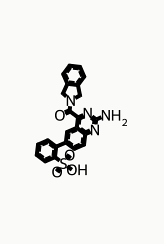 Nc1nc(C(=O)N2Cc3ccccc3C2)c2cc(-c3ccccc3S(=O)(=O)O)ccc2n1